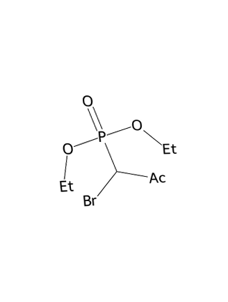 CCOP(=O)(OCC)C(Br)C(C)=O